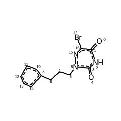 O=c1[nH]c(=O)n(CCCc2ccccc2)nc1Br